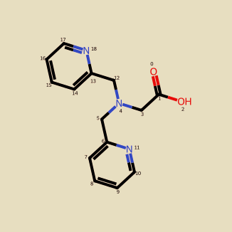 O=C(O)CN(Cc1ccccn1)Cc1ccccn1